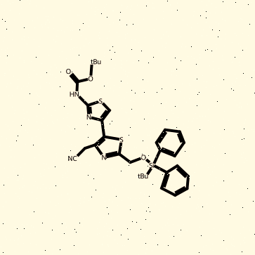 CC(C)(C)OC(=O)Nc1nc(-c2sc(CO[Si](c3ccccc3)(c3ccccc3)C(C)(C)C)nc2CC#N)cs1